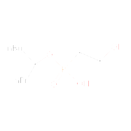 CCCCC(CCC)OP(=O)(O)CCO